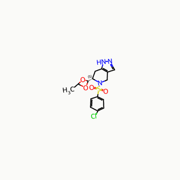 CC1OC([C@@H]2Cc3[nH]ncc3CN2S(=O)(=O)c2ccc(Cl)cc2)O1